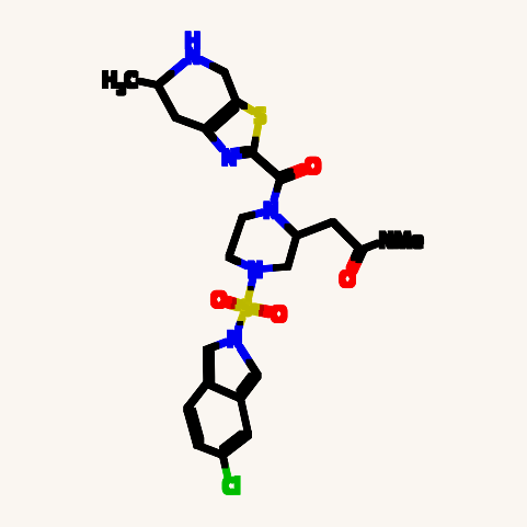 CNC(=O)CC1CN(S(=O)(=O)n2cc3ccc(Cl)cc3c2)CCN1C(=O)c1nc2c(s1)CNC(C)C2